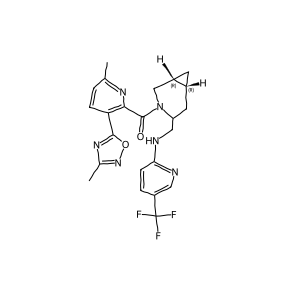 Cc1ccc(-c2nc(C)no2)c(C(=O)N2C[C@@H]3C[C@@H]3CC2CNc2ccc(C(F)(F)F)cn2)n1